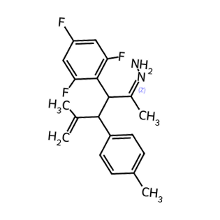 C=C(C)C(c1ccc(C)cc1)C(/C(C)=N\N)c1c(F)cc(F)cc1F